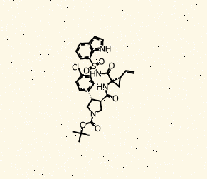 C=CC1CC1(NC(=O)[C@H]1CN(C(=O)OC(C)(C)C)C[C@@H]1c1ccc(Cl)cc1)C(=O)NS(=O)(=O)c1cccc2cc[nH]c12